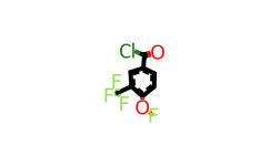 O=C(Cl)c1ccc(OF)c(C(F)(F)F)c1